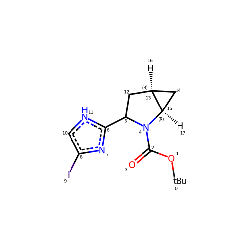 CC(C)(C)OC(=O)N1C(c2nc(I)c[nH]2)C[C@H]2C[C@H]21